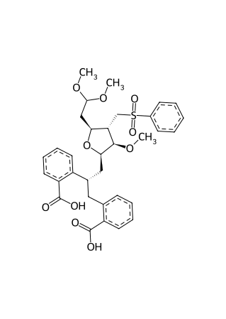 COC(C[C@@H]1O[C@H](C[C@H](Cc2ccccc2C(=O)O)c2ccccc2C(=O)O)[C@H](OC)[C@H]1CS(=O)(=O)c1ccccc1)OC